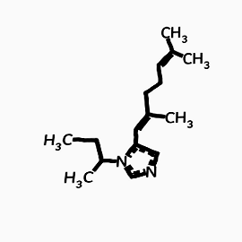 CCC(C)n1cncc1/C=C(\C)CCC=C(C)C